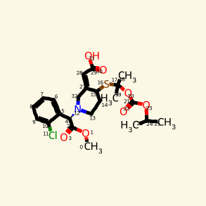 COC(=O)[C@H](c1ccccc1Cl)N1CCC(SC(C)(C)OC(=O)OC(C)C)/C(=C\C(=O)O)C1